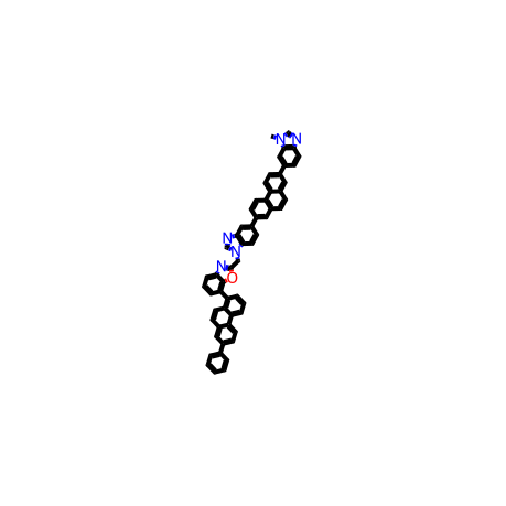 Cn1cnc2ccc(-c3ccc4c(ccc5cc(-c6ccc7c(c6)ncn7Cc6nc7cccc(-c8cccc9c8ccc8cc(-c%10ccccc%10)ccc89)c7o6)ccc54)c3)cc21